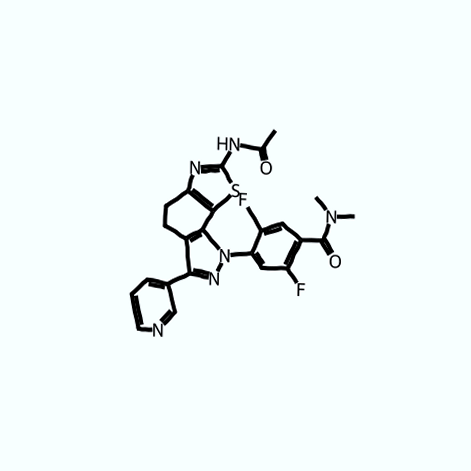 CC(=O)Nc1nc2c(s1)-c1c(c(-c3cccnc3)nn1-c1cc(F)c(C(=O)N(C)C)cc1F)CC2